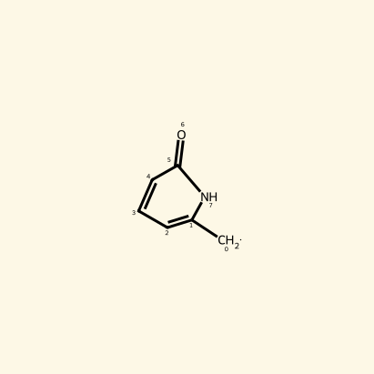 [CH2]c1cccc(=O)[nH]1